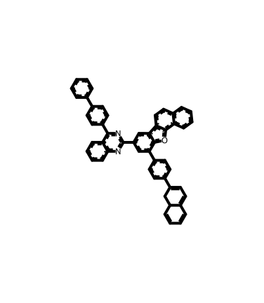 C1=CC2=CC=C(c3ccc(-c4cc(-c5nc(-c6ccc(-c7ccccc7)cc6)c6ccccc6n5)cc5c4oc4c6ccccc6ccc54)cc3)CC2C=C1